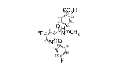 CC(NC(=O)c1cc(F)cnc1Oc1ccc(F)cc1)c1ccc(C(=O)O)cc1